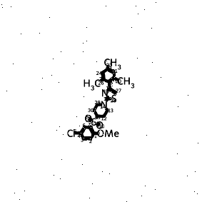 COc1ccc(Cl)cc1S(=O)(=O)C1CCN(c2nc(-c3c(C)cc(C)cc3C)cs2)CC1